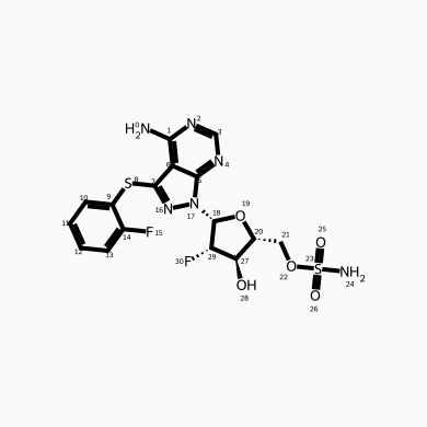 Nc1ncnc2c1c(Sc1ccccc1F)nn2[C@@H]1O[C@H](COS(N)(=O)=O)[C@@H](O)[C@@H]1F